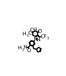 CC1(C)CC(=O)c2c(C(F)(F)F)nn(-c3ccc(C(N)=O)c(CC4CC=CC4)c3)c2C1